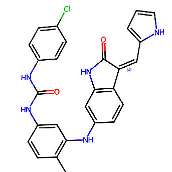 Cc1ccc(NC(=O)Nc2ccc(Cl)cc2)cc1Nc1ccc2c(c1)NC(=O)/C2=C\c1ccc[nH]1